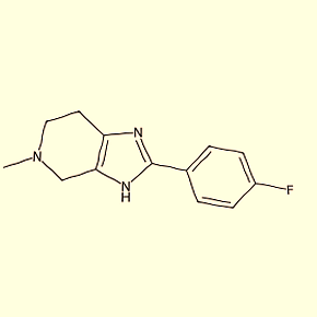 CN1CCc2nc(-c3ccc(F)cc3)[nH]c2C1